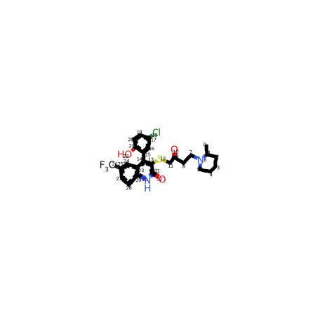 CC1CCCCN1CCC(=O)CSc1c(-c2cc(Cl)ccc2O)c2cc(C(F)(F)F)ccc2[nH]c1=O